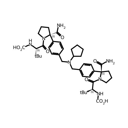 CC(C)(C)[C@H](NC(=O)O)C(=O)N1CCC[C@@]1(C(N)=O)c1ccc(CN(Cc2ccc([C@]3(C(N)=O)CCCN3C(=O)[C@@H](NC(=O)O)C(C)(C)C)cc2)C2CCCC2)cc1